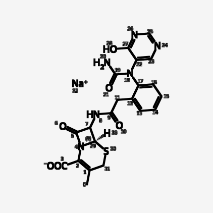 CC1=C(C(=O)[O-])N2C(=O)C(NC(=O)Cc3ccccc3N(C(N)=O)c3cncnc3O)[C@H]2SC1.[Na+]